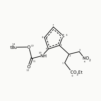 CCOC(=O)CC(C[N+](=O)[O-])c1sccc1NC(=O)OC(C)(C)C